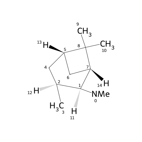 CN[C@H]1[C@@H](C)C[C@H]2C[C@@H]1C2(C)C